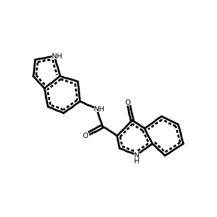 O=C(Nc1ccc2cc[nH]c2c1)c1c[nH]c2ccccc2c1=O